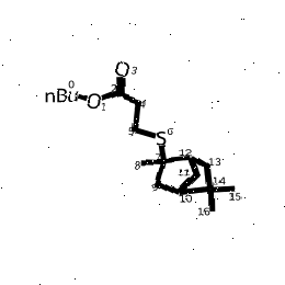 CCCCOC(=O)CCSC1(C)CC2CC1CC2(C)C